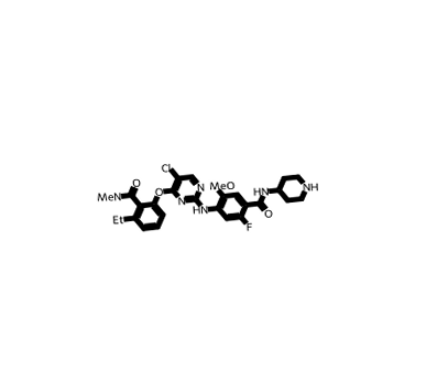 CCc1cccc(Oc2nc(Nc3cc(F)c(C(=O)NC4CCNCC4)cc3OC)ncc2Cl)c1C(=O)NC